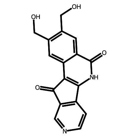 O=C1c2cnccc2-c2[nH]c(=O)c3cc(CO)c(CO)cc3c21